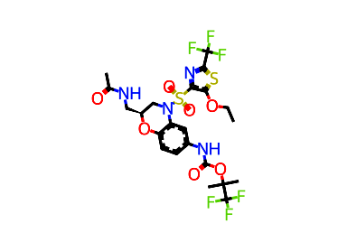 CCOc1sc(C(F)(F)F)nc1S(=O)(=O)N1C[C@H](CNC(C)=O)Oc2ccc(NC(=O)OC(C)(C)C(F)(F)F)cc21